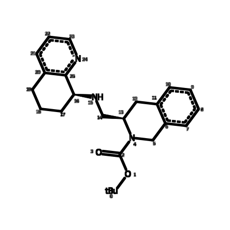 CC(C)(C)OC(=O)N1Cc2ccccc2C[C@@H]1CN[C@H]1CCCc2cccnc21